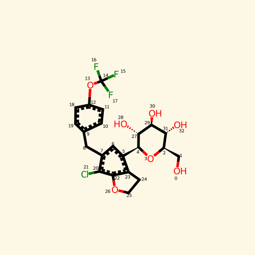 OC[C@H]1O[C@@H](c2cc(Cc3ccc(OC(F)(F)F)cc3)c(Cl)c3c2CCO3)[C@H](O)[C@@H](O)[C@@H]1O